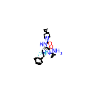 NC1(NC(=O)[C@H](CC(F)(F)Cc2ccccc2)NC(=O)N2CCC3(CC2)CC3)CC1